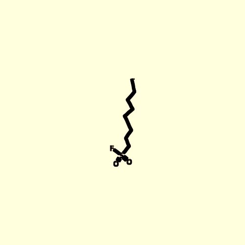 [CH2]CCCCCCCS(=O)(=O)F